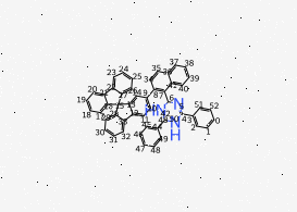 c1ccc(C2=NC(c3c(-c4ccc5c(c4)C4(c6ccccc6-c6ccccc64)c4ccccc4-5)ccc4ccccc34)NC(c3ccccc3)N2)cc1